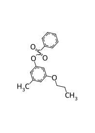 CCCOc1cc(C)cc(OS(=O)(=O)c2ccccc2)c1